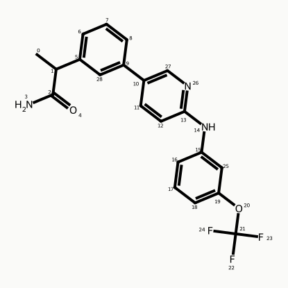 CC(C(N)=O)c1cccc(-c2ccc(Nc3cccc(OC(F)(F)F)c3)nc2)c1